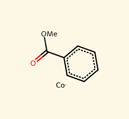 COC(=O)c1ccccc1.[Co]